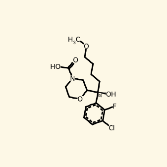 COCCCC[C@](O)(c1cccc(Cl)c1F)C1CN(C(=O)O)CCO1